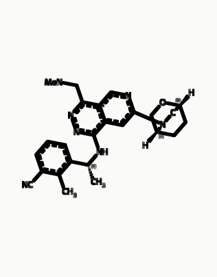 CNCc1nnc(N[C@H](C)c2cccc(C#N)c2C)c2cc(N3C[C@H]4CC[C@@H]3CO4)ncc12